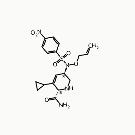 C=CCON([C@@H]1C=C(C2CC2)[C@@H](C(N)=O)NC1)S(=O)(=O)c1ccc([N+](=O)[O-])cc1